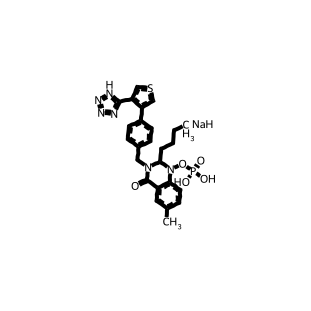 CCCCC1N(Cc2ccc(-c3cscc3-c3nnn[nH]3)cc2)C(=O)c2cc(C)ccc2N1OP(=O)(O)O.[NaH]